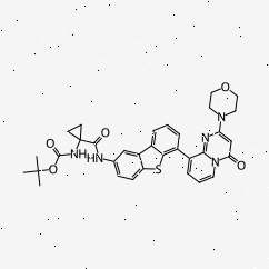 CC(C)(C)OC(=O)NC1(C(=O)Nc2ccc3sc4c(-c5cccn6c(=O)cc(N7CCOCC7)nc56)cccc4c3c2)CC1